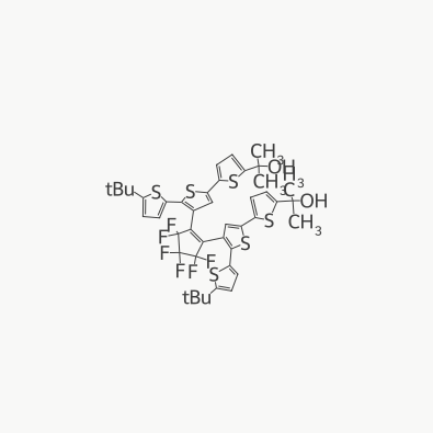 CC(C)(C)c1ccc(-c2sc(-c3ccc(C(C)(C)O)s3)cc2C2=C(c3cc(-c4ccc(C(C)(C)O)s4)sc3-c3ccc(C(C)(C)C)s3)C(F)(F)C(F)(F)C2(F)F)s1